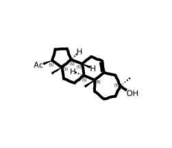 CC(=O)[C@H]1CC[C@H]2[C@@H]3CC=C4C[C@@](C)(O)CCC[C@]4(C)[C@H]3CC[C@]12C